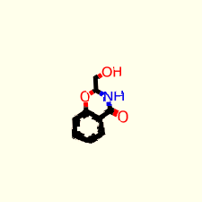 O=C1NC(CO)Oc2ccccc21